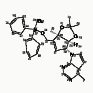 Cc1ncnc2c1ccn2[C@@H]1C=C(CO[Si](c2ccccc2)(c2ccccc2)C(C)(C)C)[C@@]2(C)OC(C)(C)O[C@@H]12